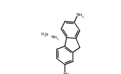 N.N.Nc1ccc2c(c1)Cc1cc(N)ccc1-2